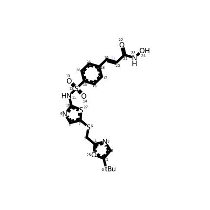 CC(C)(C)c1cnc(CSc2cnc(NS(=O)(=O)c3ccc(/C=C/C(=O)NO)cc3)s2)o1